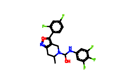 CC1Cc2noc(-c3ccc(F)cc3F)c2CN1C(O)Nc1cc(F)c(F)c(F)c1